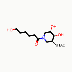 CC(=O)N[C@H]1CN(C(=O)CCCCCO)C[C@H](O)[C@@H]1O